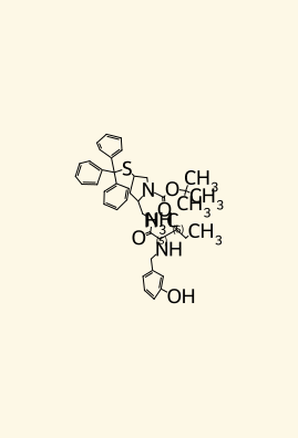 CC[C@H](C)[C@H](NCc1cccc(O)c1)C(=O)NCC1CC(SC(c2ccccc2)(c2ccccc2)c2ccccc2)CN1C(=O)OC(C)(C)C